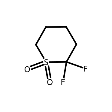 O=S1(=O)CCCCC1(F)F